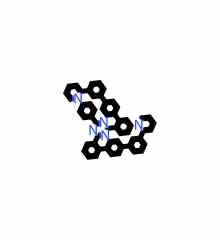 c1ccc(-c2nc(-c3ccccc3-c3ccc(-c4cccc(-c5ccccn5)c4)cc3)nc(-c3ccccc3-c3ccc(-c4cccc(-c5ccccn5)c4)cc3)n2)cc1